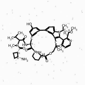 CCn1c(-c2cccnc2[C@H](C)OC)c2c3cc(ccc31)-c1cc(O)cc(c1)C[C@H](NC(=O)C(C(C)C)N(C)C(=O)[C@H]1CC[C@H]1N)C(=O)N1CCC[C@H](N1)C(=O)OCC(C)(C)C2